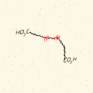 O=C(O)CCCCCCCCCCCCCCC(=O)OCCCCOC(=O)CCCCCCCCCCCCCCC(=O)O